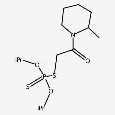 CC(C)OP(=S)(OC(C)C)SCC(=O)N1CCCCC1C